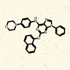 c1ccc(-n2cnc3c(Nc4ccc(N5CCOCC5)cc4)nc(Oc4cccc5ccccc45)nc32)cc1